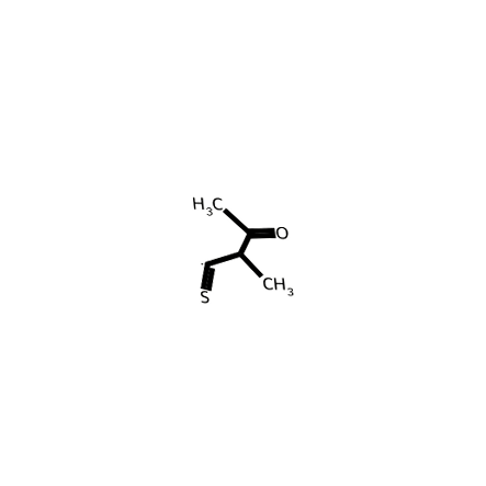 CC(=O)C(C)[C]=S